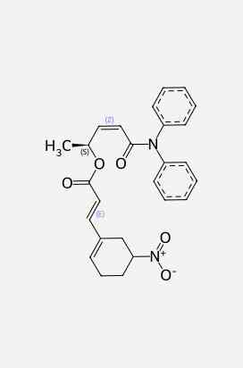 C[C@@H](/C=C\C(=O)N(c1ccccc1)c1ccccc1)OC(=O)/C=C/C1=CCCC([N+](=O)[O-])C1